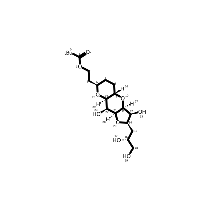 CC(C)(C)C(=O)OCC[C@H]1CC[C@@H]2O[C@H]3[C@@H](O)[C@@H](C[C@@H](O)CO)O[C@H]3[C@@H](O)[C@H]2O1